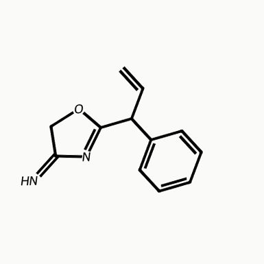 C=CC(C1=NC(=N)CO1)c1ccccc1